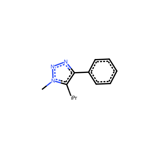 CC(C)c1c(-c2ccccc2)nnn1C